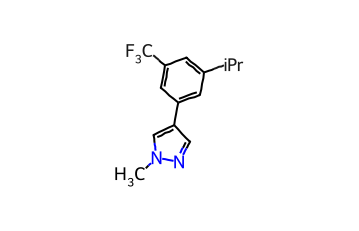 CC(C)c1cc(-c2cnn(C)c2)cc(C(F)(F)F)c1